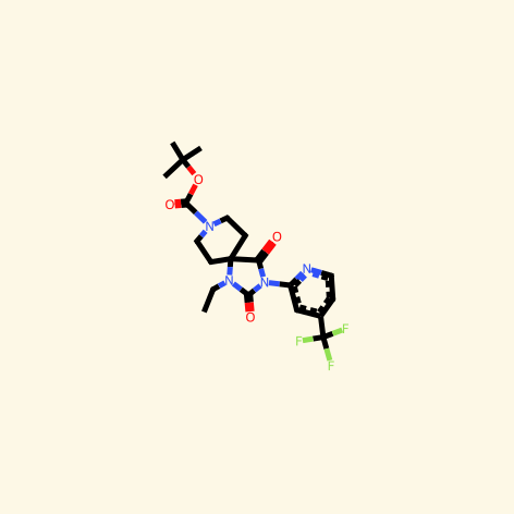 CCN1C(=O)N(c2cc(C(F)(F)F)ccn2)C(=O)C12CCN(C(=O)OC(C)(C)C)CC2